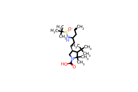 C=CCC(CC[C@@H]1CN(C(=O)O)C(C)(C)C1C(C)(C)C)N[S+]([O-])C(C)(C)C